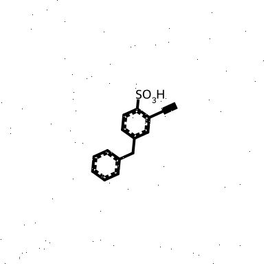 C#Cc1cc(Cc2ccccc2)ccc1S(=O)(=O)O